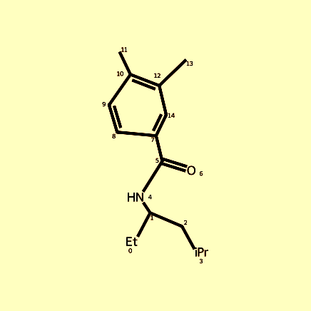 CCC(CC(C)C)NC(=O)c1ccc(C)c(C)c1